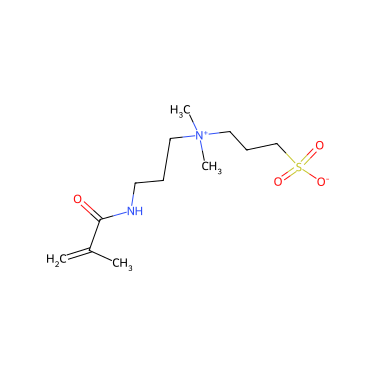 C=C(C)C(=O)NCCC[N+](C)(C)CCCS(=O)(=O)[O-]